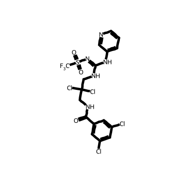 O=C(NCC(Cl)(Cl)CNC(=NS(=O)(=O)C(F)(F)F)Nc1cccnc1)c1cc(Cl)cc(Cl)c1